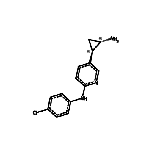 N[C@H]1C[C@@H]1c1ccc(Nc2ccc(Cl)cc2)nc1